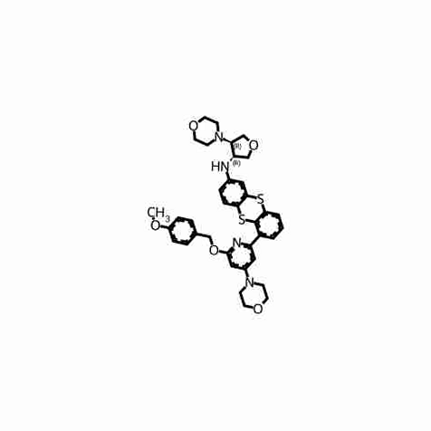 COc1ccc(COc2cc(N3CCOCC3)cc(-c3cccc4c3Sc3ccc(N[C@H]5COC[C@@H]5N5CCOCC5)cc3S4)n2)cc1